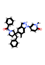 Cc1cc2c(cnn2-c2ccc(=O)n(C)c2)cc1C1(Cc2ccccc2)CCN(C(=O)c2ccccc2)C1